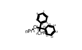 CCCOC(C=O)(c1ccccc1)c1ccccc1